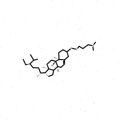 CC[C@H](CC[C@@H](C)[C@H]1CCC2[C@@H]3CC=C4CC(SSCCCN(C)C)CC[C@]4(C)[C@H]3CC[C@@]21C)C(C)C